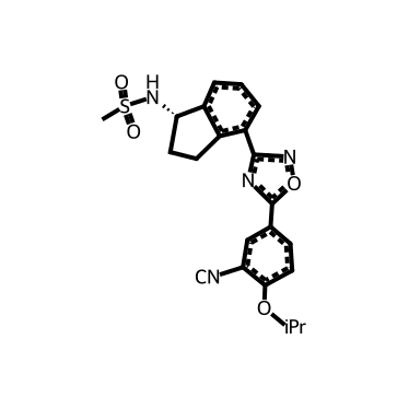 [C-]#[N+]c1cc(-c2nc(-c3cccc4c3CC[C@@H]4NS(C)(=O)=O)no2)ccc1OC(C)C